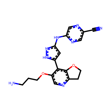 N#Cc1cnc(Nc2cc(-c3c(OCCCN)cnc4c3OCC4)[nH]n2)cn1